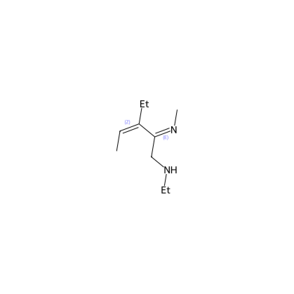 C/C=C(CC)\C(CNCC)=N/C